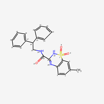 Cc1ccc2c(c1)S(=O)(=O)NC(C(=O)NCC(c1ccccc1)c1ccccc1)=N2